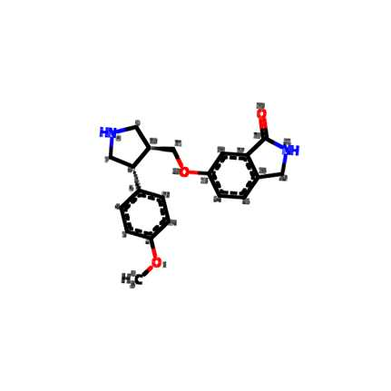 COc1ccc([C@@H]2CNC[C@H]2COc2ccc3c(c2)C(=O)NC3)cc1